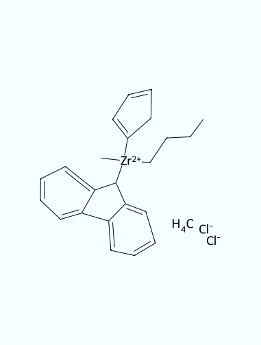 C.CCC[CH2][Zr+2]([CH3])([C]1=CC=CC1)[CH]1c2ccccc2-c2ccccc21.[Cl-].[Cl-]